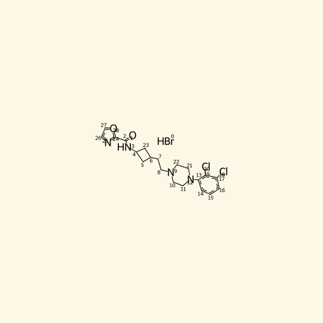 Br.O=C(NC1CC(CCN2CCN(c3cccc(Cl)c3Cl)CC2)C1)c1ncco1